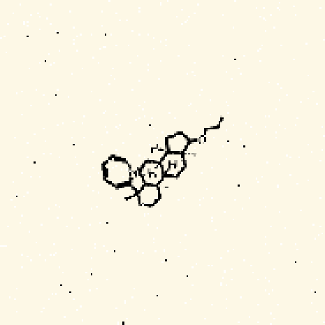 CCCOC1CC[C@H]2[C@@H]3CCC4C(C)(C5=CC=CC=CN5)CCC[C@]4(C)[C@H]3CC[C@]12C